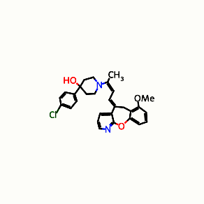 COc1cccc2c1CC(=CC=C(C)N1CCC(O)(c3ccc(Cl)cc3)CC1)c1cccnc1O2